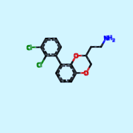 NCCC1COc2cccc(-c3cccc(Cl)c3Cl)c2O1